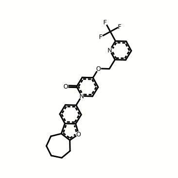 O=c1cc(OCc2cccc(C(F)(F)F)n2)ccn1-c1ccc2c3c(oc2c1)CCCCC3